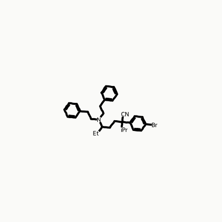 CCC(CCC(C#N)(c1ccc(Br)cc1)C(C)C)N(CCc1ccccc1)CCc1ccccc1